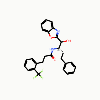 O=C(CCc1ccccc1C(F)(F)F)N[C@@H](CCc1ccccc1)C(O)c1nc2ccccc2o1